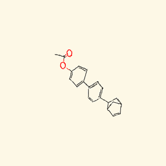 CC(=O)Oc1ccc(-c2ccc(C3CC4C=CC3C4)cc2)cc1